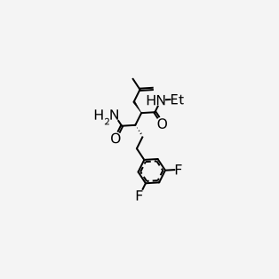 C=C(C)C[C@@H](C(=O)NCC)[C@H](CCc1cc(F)cc(F)c1)C(N)=O